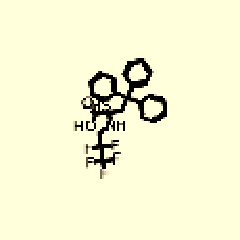 O=C(O)[C@](S)(CC(c1ccccc1)(c1ccccc1)c1ccccc1)NCC(F)(F)C(F)(F)F